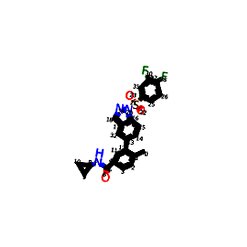 Cc1ccc(C(=O)NC2CC2)cc1-c1ccc2c(cnn2S(=O)(=O)c2ccc(F)c(F)c2)c1